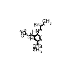 CC[C@@H](Br)CNc1ccc(C(=O)OC)cc1NC[C@@H]1CCO1